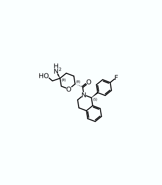 N[C@@]1(CO)CC[C@H](C(=O)N2CCc3ccccc3[C@@H]2c2ccc(F)cc2)OC1